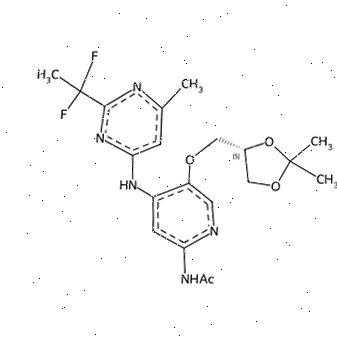 CC(=O)Nc1cc(Nc2cc(C)nc(C(C)(F)F)n2)c(OC[C@H]2COC(C)(C)O2)cn1